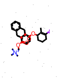 CC1=C(I)CCCC1OC(=O)C1C2c3ccccc3C(c3ccccc32)C1C(=O)OC[N+](C)(C)C